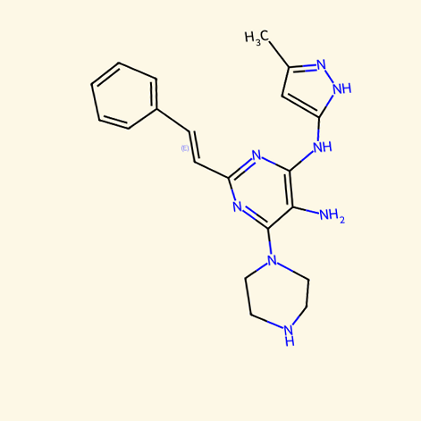 Cc1cc(Nc2nc(/C=C/c3ccccc3)nc(N3CCNCC3)c2N)[nH]n1